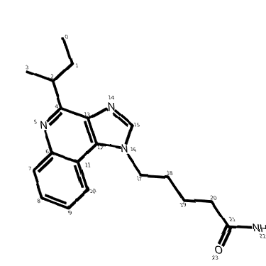 CCC(C)c1nc2ccccc2c2c1ncn2CCCCC(N)=O